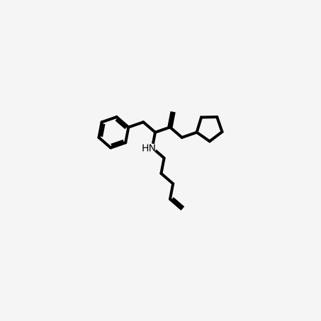 C=CCCCNC(Cc1ccccc1)C(=C)CC1CCCC1